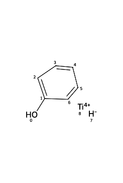 Oc1ccccc1.[H-].[Ti+4]